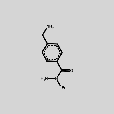 CC(C)(C)N(N)C(=O)c1ccc(CN)cc1